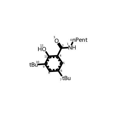 CCCCCNC(=O)c1cc(C(C)(C)C)cc(C(C)(C)C)c1O